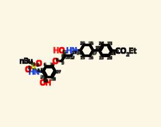 CCCCS(=O)(=O)Nc1cc(OC[C@@H](O)CNC2CCC(c3ccc(C(=O)OCC)cc3)CC2)ccc1O